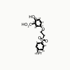 CCCc1ccc(S(=O)(=O)CCOc2ccc(O)c(C(=O)O)c2)cc1